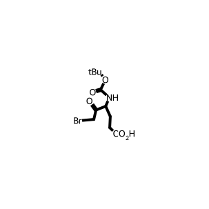 CC(C)(C)OC(=O)NC(CCC(=O)O)C(=O)CBr